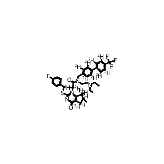 [2H]c1c([2H])c(-c2c([2H])c([2H])c(C(F)(F)F)c([2H])c2[2H])c([2H])c([2H])c1CN(CCN(CC)CC)C(=O)C([2H])([2H])n1c(SCc2ccc(F)cc2)nc(=O)c2c1C([2H])([2H])C([2H])(C)C2([2H])[2H]